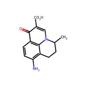 CC1CCc2c(N)ccc3c(=O)c(C(=O)O)cn1c23